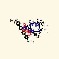 C=Cc1c(C)c2cc3nc(c(CC(=O)O)c4[nH]c(cc5nc(cc1[nH]2)C(C)=C5CC)c(C)c4C(=O)O)[C@@H](CCC(=O)Nc1cc(-c2ccc(C)cc2)ccc1-c1ccc(-c2ccc(C)cc2)cc1)[C@@H]3C